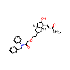 CCCCCCC(=O)C=C[C@H]1[C@@H]2CC(CCOCC(=O)N(Cc3ccccc3)c3ccccc3)C[C@H]2C[C@@H]1O